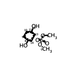 COS(=O)(=O)OC.Oc1ccc(O)cc1